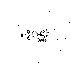 COc1cc(S(=O)(=O)C(C)C)ccc1B1OC(C)(C)C(C)(C)O1